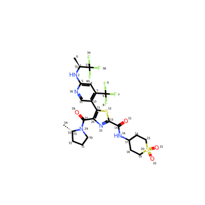 C[C@H](Nc1cc(C(F)(F)F)c(-c2sc(C(=O)NC3CCS(=O)(=O)CC3)nc2C(=O)N2CCC[C@@H]2C)cn1)C(F)(F)F